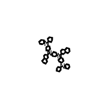 c1ccc(N(c2ccccc2)c2ccc(N(c3ccc(N(c4ccc(N(c5ccccc5)c5ccccc5)cc4)c4ccc5ccccc5c4)cc3)c3ccc4ccccc4c3)cc2)cc1